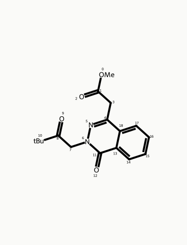 COC(=O)Cc1nn(CC(=O)C(C)(C)C)c(=O)c2ccccc12